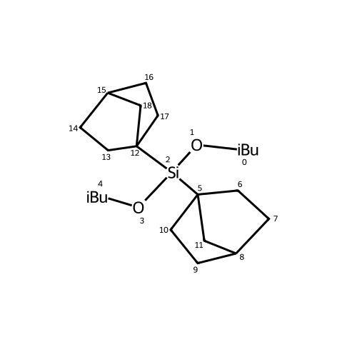 CCC(C)O[Si](OC(C)CC)(C12CCC(CC1)C2)C12CCC(CC1)C2